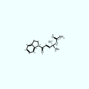 CC[C@](C=CC(=O)N1CCc2ccccc21)(OC(N)=O)C(C)(C)C